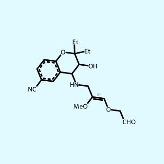 CCC1(CC)Oc2ccc(C#N)cc2C(NC/C(=C/OCC=O)OC)C1O